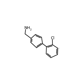 NCc1ccc(-c2ccc[c]c2Cl)cc1